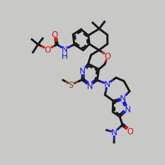 CSc1nc2c(c(N3CCCn4nc(C(=O)N(C)C)cc4C3)n1)COC1(CCC(C)(C)c3ccc(NC(=O)OC(C)(C)C)cc31)C2